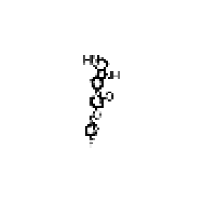 O=c1cc(OCc2ccc(F)cn2)ccn1-c1ccc2c3c([nH]c2c1)CCNC3